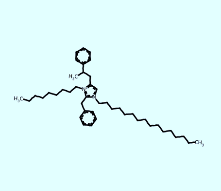 CCCCCCCCCCCCCCCCn1cc(CC(C)c2ccccc2)[n+](CCCCCCCCC)c1Cc1ccccc1